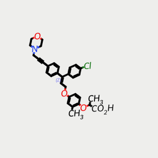 Cc1cc(OC/C=C(\c2ccc(Cl)cc2)c2ccc(C#CCN3CCOCC3)cc2)ccc1OC(C)C(=O)O